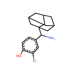 NC(c1ccc(O)c(Cl)c1)C12CC3CC(CC(C3)C1)C2